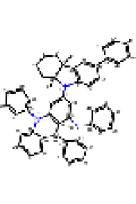 CC12CCCCC1(C)N(c1cc3c4c(c1)N(c1ccccc1)c1ccccc1B4c1ccccc1N3c1ccccc1)c1ccc(-c3ccccc3)cc12